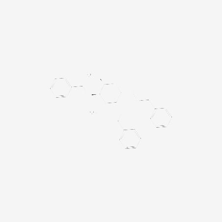 CO[C@H]1O[C@H](COCc2ccccc2)[C@H](OCc2ccccc2)[C@H](OC)[C@H]1OCc1ccccc1